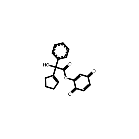 O=C1C=CC(=O)C(OC(=O)C(O)(C2=CCCC2)c2ccccc2)=C1